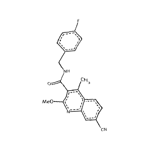 COc1nc2cc(C#N)ccc2c(C)c1C(=O)NCc1ccc(F)cc1